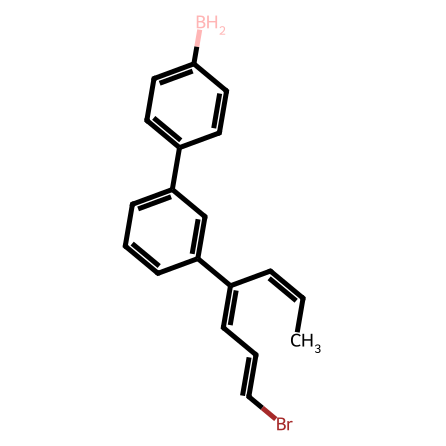 Bc1ccc(-c2cccc(C(/C=C\C)=C/C=C/Br)c2)cc1